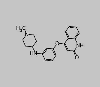 CN1CCC(Nc2cccc(Oc3cc(=O)[nH]c4ccccc34)c2)CC1